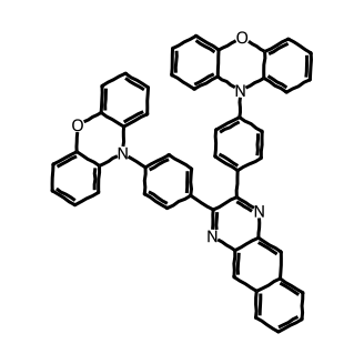 c1ccc2c(c1)Oc1ccccc1N2c1ccc(-c2nc3cc4ccccc4cc3nc2-c2ccc(N3c4ccccc4Oc4ccccc43)cc2)cc1